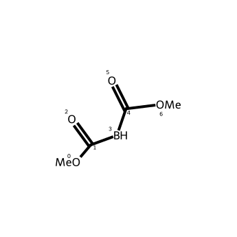 COC(=O)BC(=O)OC